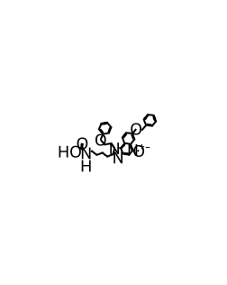 O=C(O)NCCCCc1nc2c[n+]([O-])c3cc(OCc4ccccc4)ccc3c2n1CCOc1ccccc1